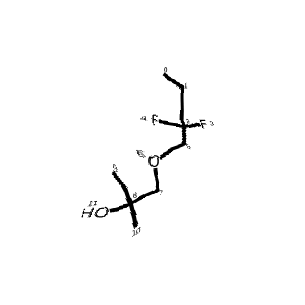 CCC(F)(F)COCC(C)(C)O